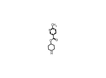 Cc1ccc(C(=O)OC2CCNCC2)cn1